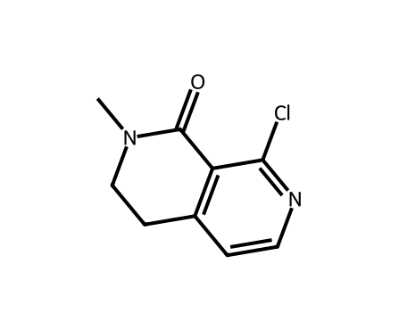 CN1CCc2ccnc(Cl)c2C1=O